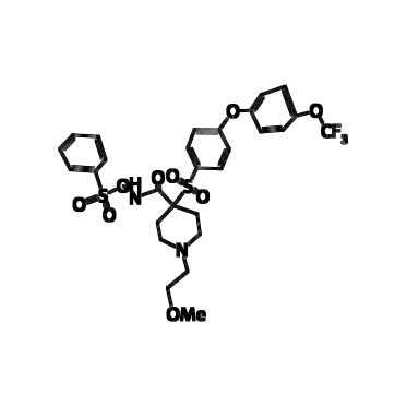 COCCN1CCC(C(=O)NOS(=O)(=O)c2ccccc2)(S(=O)(=O)c2ccc(Oc3ccc(OC(F)(F)F)cc3)cc2)CC1